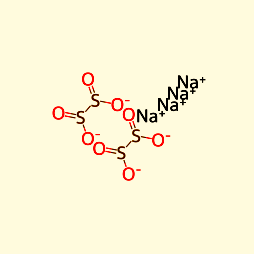 O=S([O-])S(=O)[O-].O=S([O-])S(=O)[O-].[Na+].[Na+].[Na+].[Na+]